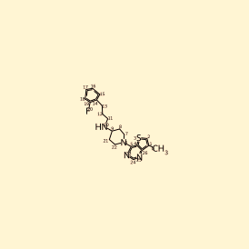 Cc1csc2c(N3CCC(NCCCc4ccccc4F)CC3)ncnc12